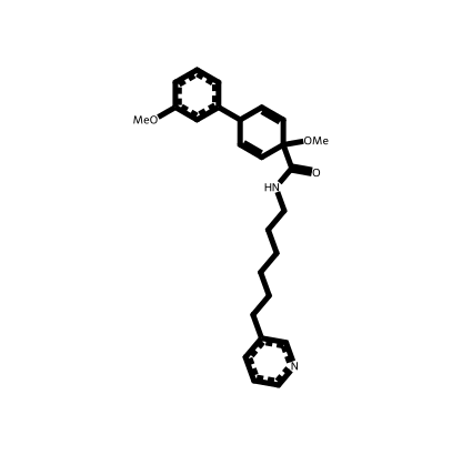 COc1cccc(C2C=CC(OC)(C(=O)NCCCCCCc3cccnc3)C=C2)c1